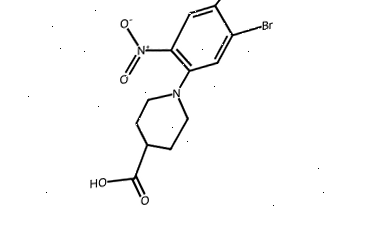 O=C(O)C1CCN(c2cc(Br)c(F)cc2[N+](=O)[O-])CC1